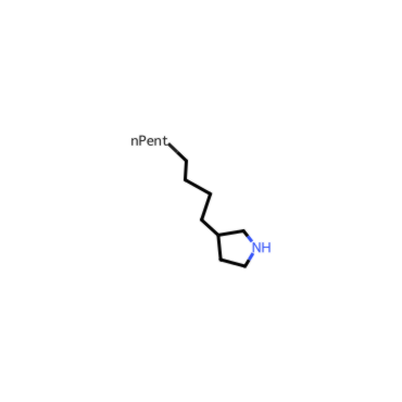 CCCCCCCCCC1CCNC1